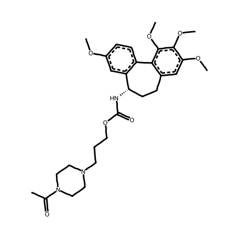 COc1ccc2c(c1)[C@@H](NC(=O)OCCCN1CCN(C(C)=O)CC1)CCc1cc(OC)c(OC)c(OC)c1-2